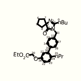 CCCCC1=NC2(CCCC2)C(=O)N1Cc1ccc(-c2cc(OCC(=O)OCC)ccc2CCC)cc1